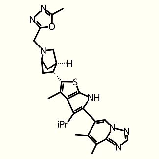 Cc1nnc(CN2C[C@@H]3CC2C[C@H]3c2sc3[nH]c(-c4cn5ncnc5c(C)c4C)c(C(C)C)c3c2C)o1